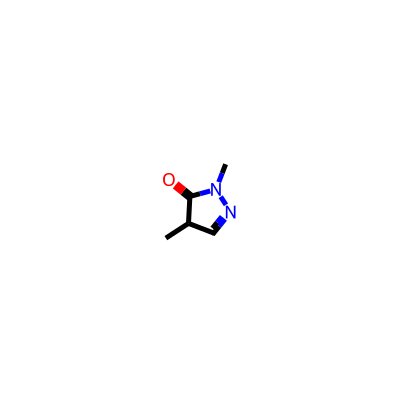 CC1C=NN(C)C1=O